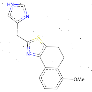 COc1cccc2c1CCc1sc(Cc3c[nH]cn3)nc1-2